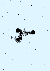 Cc1noc2nccc(Sc3cnc(NC4=NC(CCc5ccccc5)CS4)c(Oc4ccccc4)c3)c12